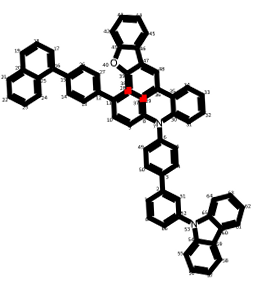 c1cc(-c2ccc(N(c3ccc(-c4ccc(-c5cccc6ccccc56)cc4)cc3)c3ccccc3-c3ccc4oc5ccccc5c4c3)cc2)cc(-n2c3ccccc3c3ccccc32)c1